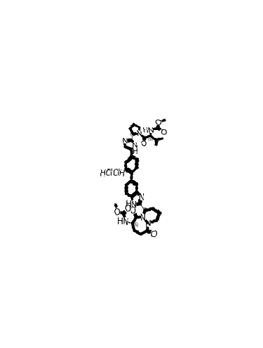 COC(=O)N[C@H]1CCC(=O)N2CCC[C@@H](c3nc4cc(-c5ccc(-c6cnc([C@@H]7CCCN7C(=O)[C@@H](NC(=O)OC)C(C)C)[nH]6)cc5)ccc4[nH]3)N2C1=O.Cl.Cl